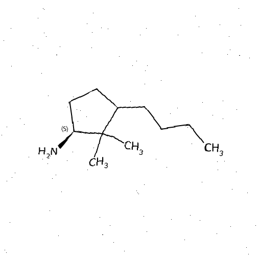 CCCCC1CC[C@H](N)C1(C)C